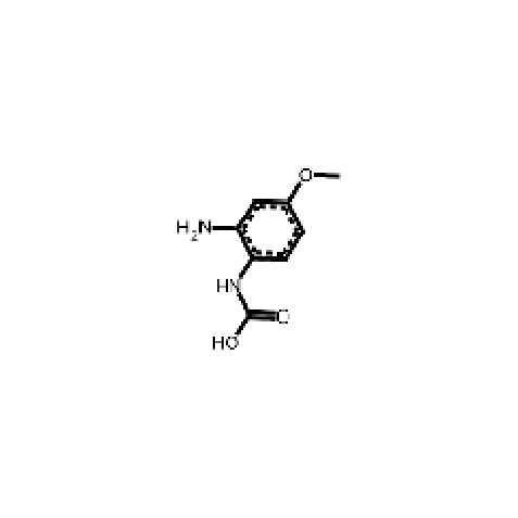 COc1ccc(NC(=O)O)c(N)c1